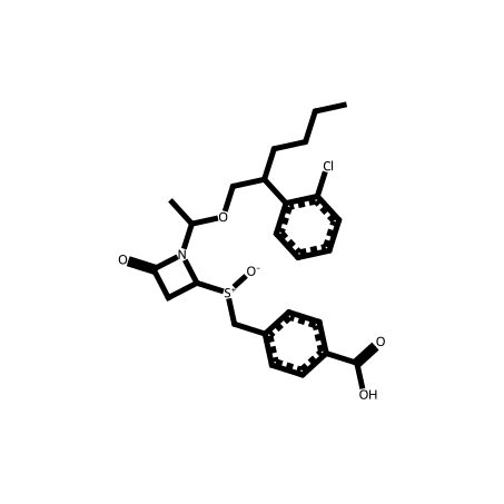 CCCCC(COC(C)N1C(=O)CC1[S+]([O-])Cc1ccc(C(=O)O)cc1)c1ccccc1Cl